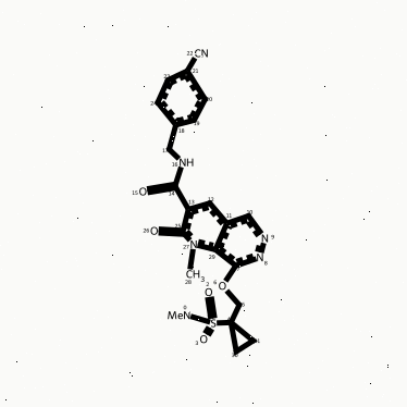 CNS(=O)(=O)C1(COc2nncc3cc(C(=O)NCc4ccc(C#N)cc4)c(=O)n(C)c23)CC1